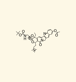 CCC1(OC(=O)CNC(=O)OC(C)(C)C)C(=O)OC(CC[Si](C)(C)C)c2c1cc1n(c2=O)Cc2cc3cc(OC(C)=O)ccc3nc2-1